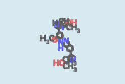 COc1cc(-c2cnc(C)n2CC(C)(C)O)ccc1Nc1cc2cc(-c3cnn(CC(C)(C)O)c3)ccc2cn1